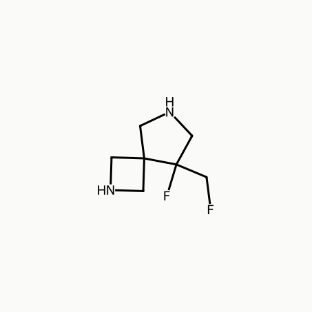 FCC1(F)CNCC12CNC2